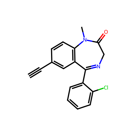 C#Cc1ccc2c(c1)C(c1ccccc1Cl)=NCC(=O)N2C